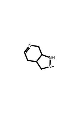 C1=NCC2NNCC2C1